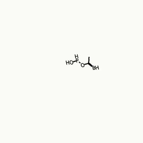 B=C(C)OPO